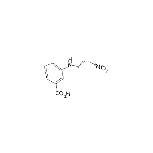 O=C(O)c1cccc(N/[C]=C/[N+](=O)[O-])c1